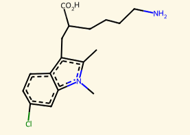 Cc1c(CC(CCCCN)C(=O)O)c2ccc(Cl)cc2n1C